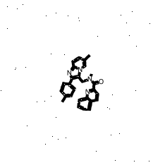 Cc1ccc(-c2nc3ccc(C)cn3c2CN(C)C(=O)c2ccc3ccccc3n2)cc1